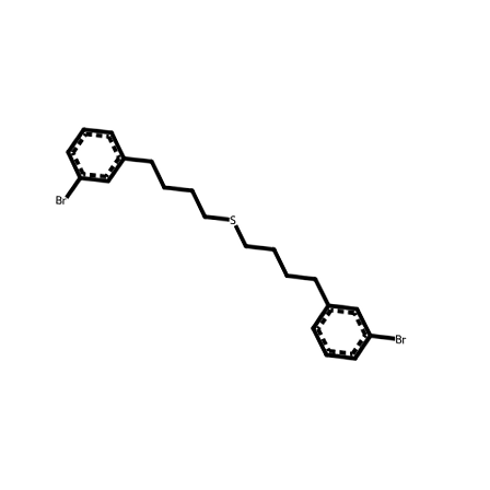 Brc1cccc(CCCCSCCCCc2cccc(Br)c2)c1